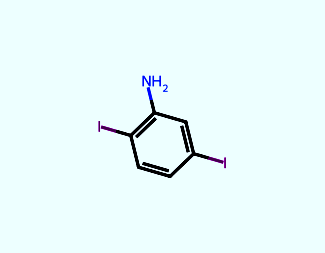 Nc1cc(I)ccc1I